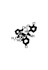 CCC1CCC[N+]1(CC)NS(=O)(=O)C1(O)CC(Cl)=CC=C1N(C#N)C(=N)Nc1cccc(Cl)c1Cl